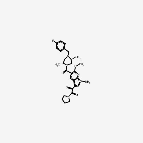 COc1nc2c(cc1C(=O)N1C[C@H](C)N(Cc3ccc(F)cc3)C[C@H]1C)c(C(=O)C(=O)N1CCCC1)cn2N